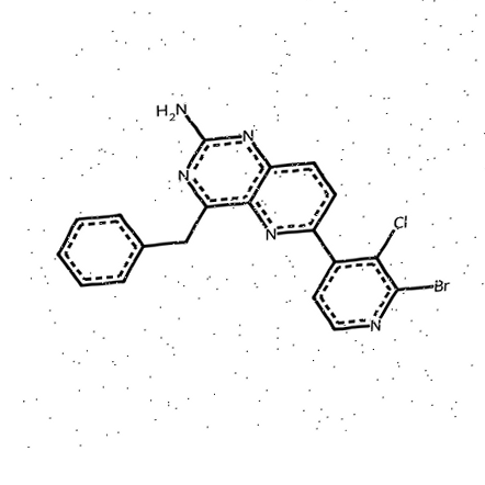 Nc1nc(Cc2ccccc2)c2nc(-c3ccnc(Br)c3Cl)ccc2n1